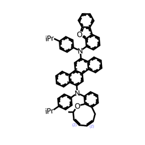 CC1/C=C\C=C/Cc2cccc(N(c3ccc(C(C)C)cc3)c3cc4c5ccccc5c(N(c5ccc(C(C)C)cc5)c5cccc6c5oc5ccccc56)cc4c4ccccc34)c2O1